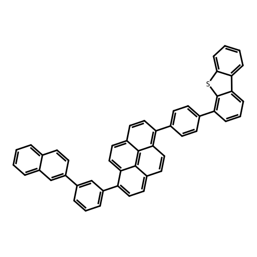 c1cc(-c2ccc3ccccc3c2)cc(-c2ccc3ccc4c(-c5ccc(-c6cccc7c6sc6ccccc67)cc5)ccc5ccc2c3c54)c1